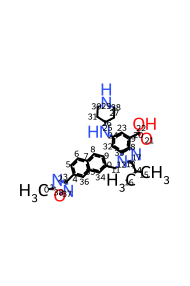 Cc1nc(-c2ccc3ccc(Cn4c(C(C)C)nc5c(C(=O)O)cc(NC6CCNCC6)cc54)cc3c2)no1